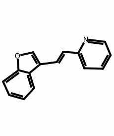 C(=C\c1coc2ccccc12)/c1ccccn1